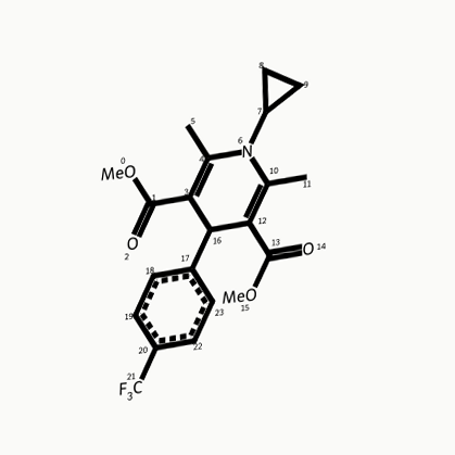 COC(=O)C1=C(C)N(C2CC2)C(C)=C(C(=O)OC)C1c1ccc(C(F)(F)F)cc1